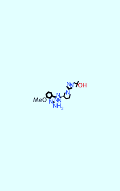 COc1cccc2c1nc(N)n1nc([C@@H]3CCCN(c4cnn(CC(C)(C)O)c4)C3)nc21